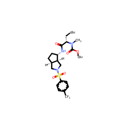 CN(C(=O)OC(C)(C)C)[C@@H](CC(C)(C)C)C(=O)N[C@H]1CC[C@@H]2CN(S(=O)(=O)c3ccc(C(F)(F)F)cc3)C[C@@H]21